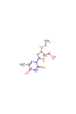 CCOC1C[C@H](n2cc(C)c(=O)[nH]c2=O)O[C@@H]1CO